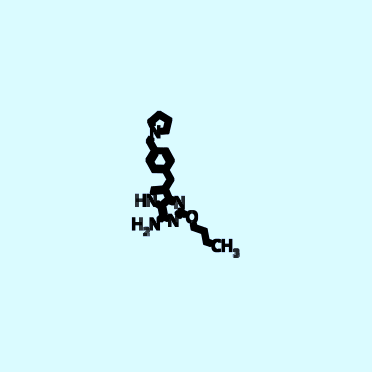 CCCCOc1nc(N)c2[nH]cc(Cc3ccc(CN4CCCC4)cc3)c2n1